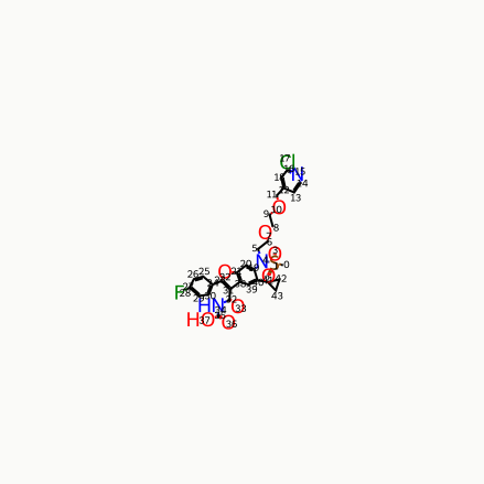 CS(=O)(=O)N(CCOCCOCc1ccnc(Cl)c1)c1cc2oc(-c3ccc(F)cc3)c(C(=O)NC(=O)O)c2cc1C1CC1